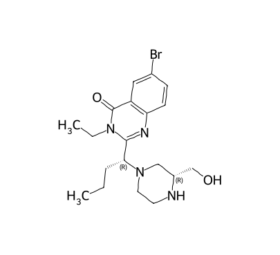 CCC[C@H](c1nc2ccc(Br)cc2c(=O)n1CC)N1CCN[C@@H](CO)C1